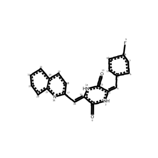 O=c1[nH]/c(=C/c2ccc(F)cc2)c(=O)[nH]/c1=C\c1ccc2ccccc2n1